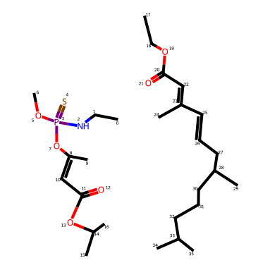 CCNP(=S)(OC)O/C(C)=C/C(=O)OC(C)C.CCOC(=O)/C=C(C)/C=C/CC(C)CCCC(C)C